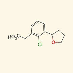 O=C(O)Cc1cccc(C2CCCO2)c1Cl